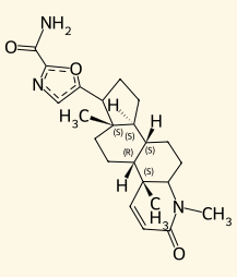 CN1C(=O)C=C[C@@]2(C)C1CC[C@@H]1[C@H]2CC[C@]2(C)C(c3cnc(C(N)=O)o3)CC[C@@H]12